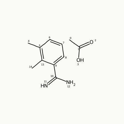 CC(=O)O.Cc1cccc(C(=N)N)c1C